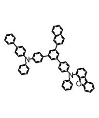 c1ccc(-c2ccc(N(c3ccccc3)c3ccc(-c4cc(-c5ccc(N(c6ccccc6)c6cccc7c6oc6ccccc67)cc5)cc(-c5ccc6ccccc6c5)c4)cc3)cc2)cc1